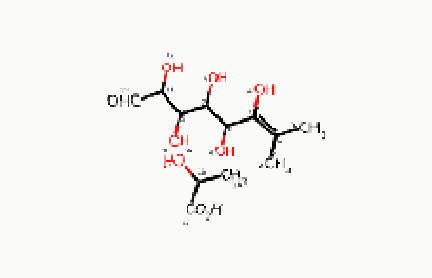 CC(C)=C(O)C(O)C(O)C(O)C(O)C=O.CC(O)C(=O)O